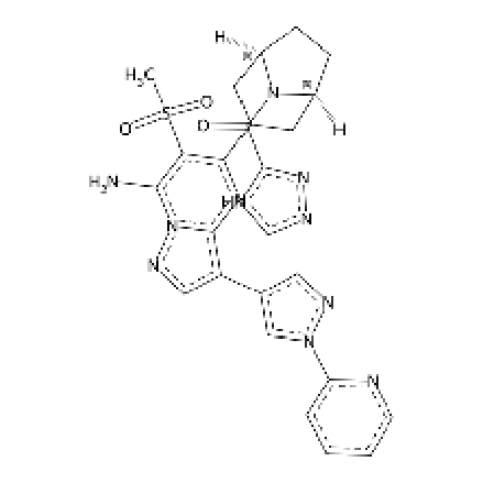 CS(=O)(=O)c1c(C2C[C@H]3CC[C@@H](C2)N3C(=O)c2nnc[nH]2)nc2c(-c3cnn(-c4ccccn4)c3)cnn2c1N